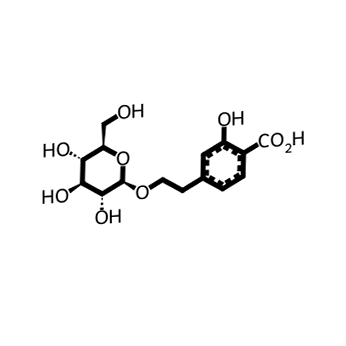 O=C(O)c1ccc(CCO[C@@H]2O[C@H](CO)[C@@H](O)[C@H](O)[C@H]2O)cc1O